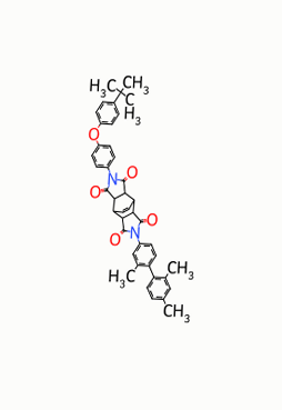 Cc1ccc(-c2ccc(N3C(=O)C4C5C=CC(C6C(=O)N(c7ccc(Oc8ccc(C(C)(C)C)cc8)cc7)C(=O)C56)C4C3=O)cc2C)c(C)c1